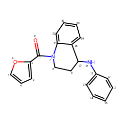 O=C(c1ccco1)N1CCC(Nc2ccccc2)c2ccccc21